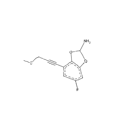 COCC#Cc1cc(F)cc2c1OC(N)O2